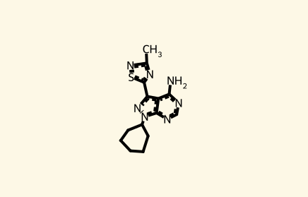 Cc1nsc(-c2nn(C3CCCCC3)c3ncnc(N)c23)n1